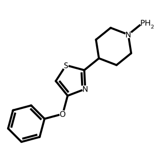 PN1CCC(c2nc(Oc3ccccc3)cs2)CC1